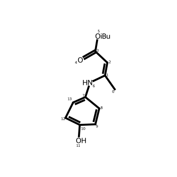 C/C(=C/C(=O)OCC(C)C)Nc1ccc(O)cc1